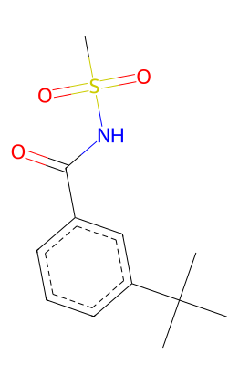 CC(C)(C)c1cccc(C(=O)NS(C)(=O)=O)c1